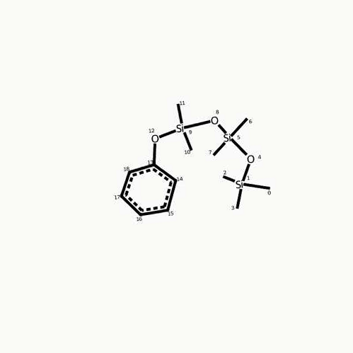 C[Si](C)(C)O[Si](C)(C)O[Si](C)(C)Oc1ccccc1